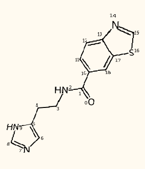 O=C(NCCc1cnc[nH]1)c1ccc2ncsc2c1